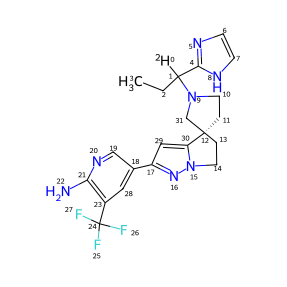 [2H]C(CC)(c1ncc[nH]1)N1CC[C@@]2(CCn3nc(-c4cnc(N)c(C(F)(F)F)c4)cc32)C1